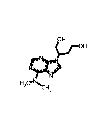 CN(C)c1ncnc2c1ncn2C(CO)CCO